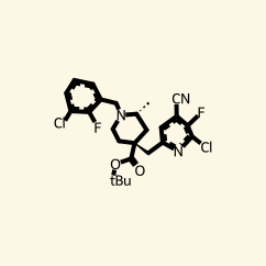 C[C@@H]1C[C@](Cc2cc(C#N)c(F)c(Cl)n2)(C(=O)OC(C)(C)C)CCN1Cc1cccc(Cl)c1F